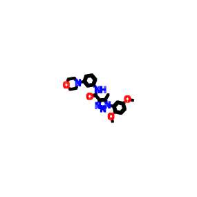 COc1ccc(OC)c(-n2nnc(C(=O)Nc3cccc(N4CCOCC4)c3)c2C)c1